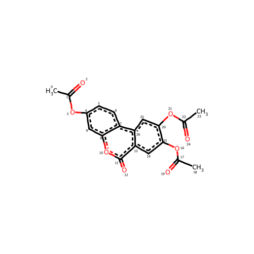 CC(=O)Oc1ccc2c(c1)oc(=O)c1cc(OC(C)=O)c(OC(C)=O)cc12